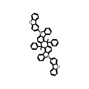 CC1(c2ccccc2)c2ccc3c(c2C(C)(c2ccccc2)c2ccc4c(c21)c1ccccc1n4-c1ccc2oc4ccccc4c2c1)c1ccccc1n3-c1ccc2oc3ccccc3c2c1